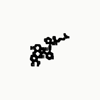 COc1c(Cl)cccc1Nc1c(-c2ccncc2C#C[C@]2(NC(=O)/C=C/CN(C)C)CCOC2)[nH]c2c1C(=O)NCC2